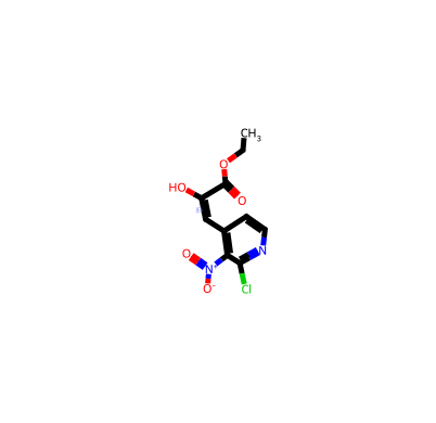 CCOC(=O)/C(O)=C\c1ccnc(Cl)c1[N+](=O)[O-]